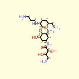 NCCCN[C@@H]1CC[C@@H](CN)O[C@@H]1OC1[C@H](O)C[C@H](NC(=O)C(O)C(O)CN)C[C@@H]1N